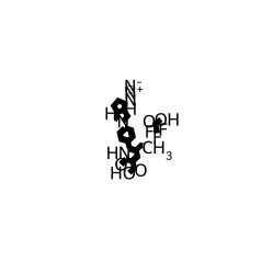 CCc1cc(C(=O)O)c(=O)[nH]c1-c1ccc(N2C[C@H]3CC[C@H](N=[N+]=[N-])[C@H]3C2)cc1.O=C(O)C(F)(F)F